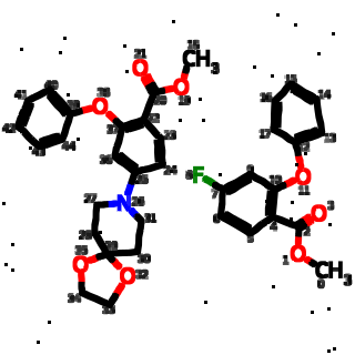 COC(=O)c1ccc(F)cc1Oc1ccccc1.COC(=O)c1ccc(N2CCC3(CC2)OCCO3)cc1Oc1ccccc1